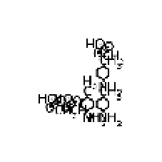 CC1CCC(N)CC1.CC1CCC(N)CC1.CC1CCC(N)CC1.CS(=O)(=O)O.CS(=O)(=O)O.CS(=O)(=O)O